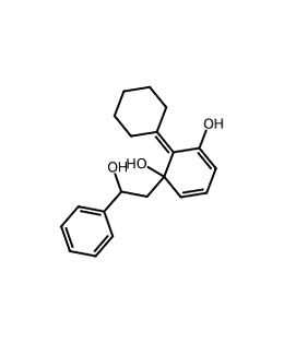 OC1=CC=CC(O)(CC(O)c2ccccc2)C1=C1CCCCC1